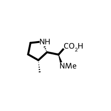 CN[C@H](C(=O)O)[C@H]1NCC[C@H]1C